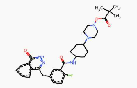 CC(C)(C)C(=O)ON1CCN(C2CCC(NC(=O)c3cc(Cc4n[nH]c(=O)c5ccccc45)ccc3F)CC2)CC1